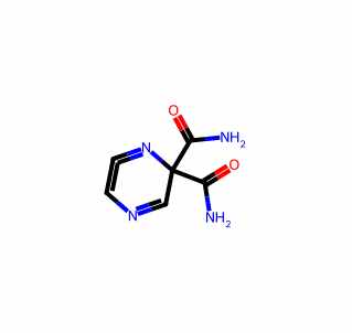 NC(=O)C1(C(N)=O)C=NC=C=N1